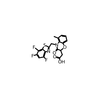 Cc1cccc2c1N(Cc1nc3c(F)cc(F)c(F)c3s1)C(=O)C(CC(=O)O)O2